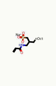 C=CC(=O)NCC(CCCCCCCCC)CS(=O)(=O)[O-].[Na+]